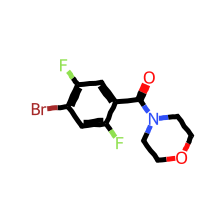 O=C(c1cc(F)c(Br)cc1F)N1CCOCC1